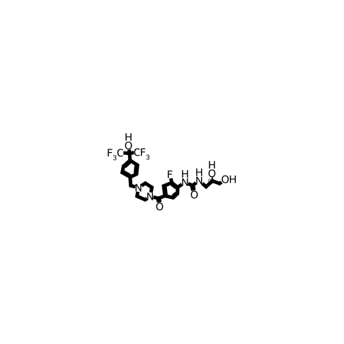 O=C(NC[C@H](O)CO)Nc1ccc(C(=O)N2CCN(Cc3ccc(C(O)(C(F)(F)F)C(F)(F)F)cc3)CC2)cc1F